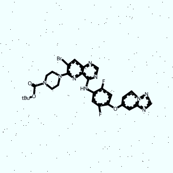 CC(C)(C)OC(=O)N1CCN(c2nc3c(Nc4cc(F)c(Oc5ccn6ncnc6c5)cc4F)ncnc3cc2Br)CC1